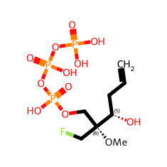 C=CC[C@H](O)[C@@](CF)(COP(=O)(O)OP(=O)(O)OP(=O)(O)O)OC